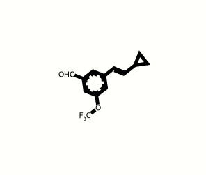 O=Cc1cc(/C=C/C2CC2)cc(OC(F)(F)F)c1